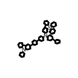 c1ccc(-c2ccc(N(c3ccc(-c4ccc(-c5ccc6c(c5)c5ccccc5n6-c5ccccc5)cc4)cc3)c3ccc4c(c3)[Si](c3ccccc3)(c3ccccc3)c3ccccc3-4)cc2)cc1